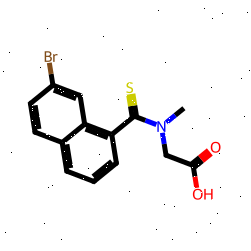 CN(CC(=O)O)C(=S)c1cccc2ccc(Br)cc12